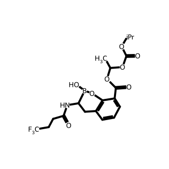 CC(C)OC(=O)OC(C)OC(=O)c1cccc2c1OB(O)C(NC(=O)CCC(F)(F)F)C2